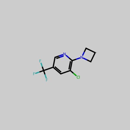 FC(F)(F)c1cnc(N2C[CH]C2)c(Cl)c1